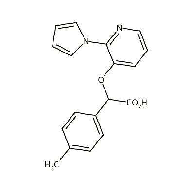 Cc1ccc(C(Oc2cccnc2-n2cccc2)C(=O)O)cc1